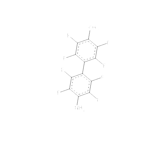 Cc1c(F)c(F)c(-c2c(F)c(F)c(N)c(F)c2F)c(F)c1F